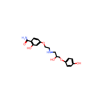 NC(=O)c1ccc(OCCNCC(O)COc2ccc(O)cc2)cc1O